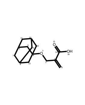 C=C(COC12CC3CC(CC(C3)C1)C2)C(=O)O